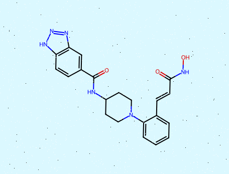 O=C(C=Cc1ccccc1N1CCC(NC(=O)c2ccc3[nH]nnc3c2)CC1)NO